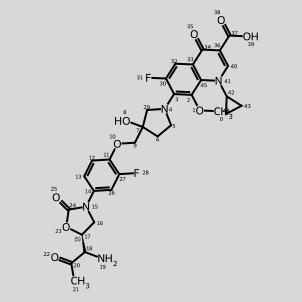 COc1c(N2CCC(O)(COc3ccc(N4C[C@@H](C(N)C(C)=O)OC4=O)cc3F)C2)c(F)cc2c(=O)c(C(=O)O)cn(C3CC3)c12